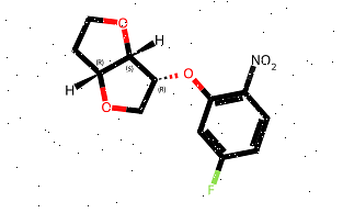 O=[N+]([O-])c1ccc(F)cc1O[C@@H]1CO[C@@H]2CCO[C@@H]21